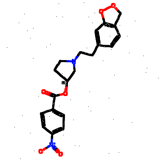 O=C(O[C@H]1CCN(CCc2ccc3c(c2)OOC3)C1)c1ccc([N+](=O)[O-])cc1